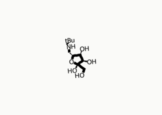 CC(C)(C)NC[C@H]1O[C@@](O)(CO)[C@H](O)[C@H]1O